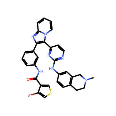 CN1CCc2ccc(Nc3nccc(-c4c(-c5cccc(NC(=O)c6cscc6Br)c5)nc5ccccn45)n3)cc2C1